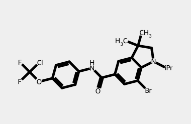 CC(C)N1CC(C)(C)c2cc(C(=O)Nc3ccc(OC(F)(F)Cl)cc3)cc(Br)c21